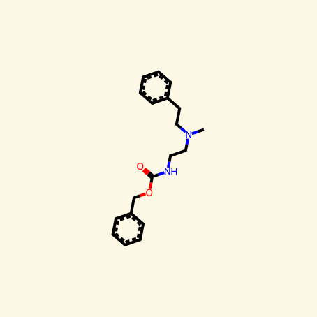 CN(CCNC(=O)OCc1ccccc1)CCc1ccccc1